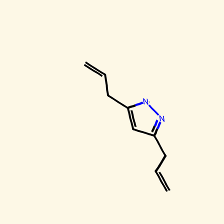 C=CCC1=CC(CC=C)=N[N]1